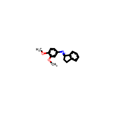 COc1ccc(/N=C2\CCc3ccccc32)cc1OC